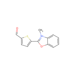 C[n+]1c(-c2ccc(C=O)s2)oc2ccccc21